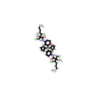 CCCCC(Cl)C(C)(CCl)C(=O)Nc1ccc(F)[c]([Ti]([C]2=CC=CC2)([C]2=CC=CC2)[c]2c(F)ccc(NC(=O)C(C)(CCl)C(Cl)CCCC)c2F)c1F